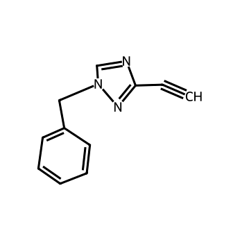 C#Cc1ncn(Cc2ccccc2)n1